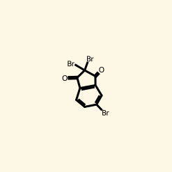 O=C1c2ccc(Br)cc2C(=O)C1(Br)Br